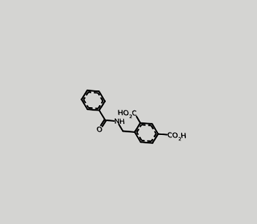 O=C(O)c1ccc(CNC(=O)c2ccccc2)c(C(=O)O)c1